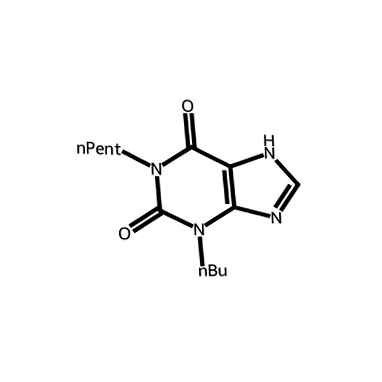 CCCCCn1c(=O)c2[nH]cnc2n(CCCC)c1=O